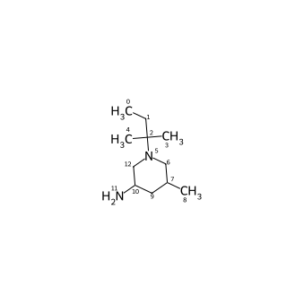 CCC(C)(C)N1CC(C)CC(N)C1